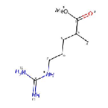 COC(=O)C(C)CCCNC(=N)N